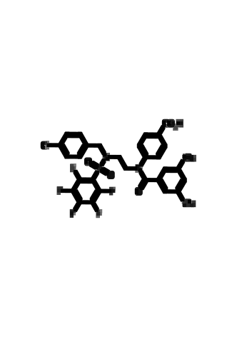 CC(C)(C)c1cc(C(=O)N(CCN(Cc2ccc(Cl)cc2)S(=O)(=O)c2c(F)c(F)c(F)c(F)c2F)c2ccc(C(=O)O)cc2)cc(C(C)(C)C)c1